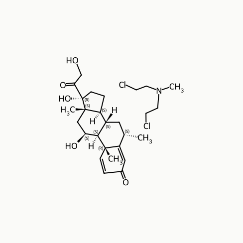 CN(CCCl)CCCl.C[C@H]1C[C@@H]2[C@H]([C@@H](O)C[C@@]3(C)[C@H]2CC[C@]3(O)C(=O)CO)[C@@]2(C)C=CC(=O)C=C12